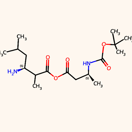 CC(C)C[C@H](N)C(C)C(=O)OC(=O)C[C@H](C)NC(=O)OC(C)(C)C